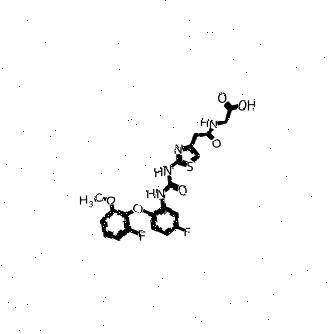 COc1cccc(F)c1Oc1ccc(F)cc1NC(=O)Nc1nc(CC(=O)NCC(=O)O)cs1